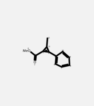 COC(=O)C1=C(c2ccccc2)C1C